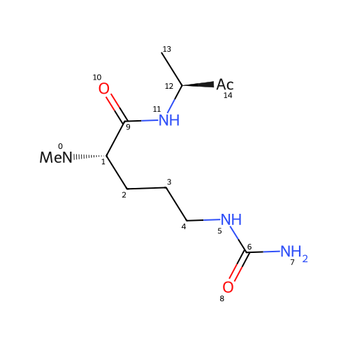 CN[C@@H](CCCNC(N)=O)C(=O)N[C@@H](C)C(C)=O